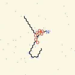 CCCCC/C=C\C/C=C\C/C=C\CCCCCCC(=O)OC[C@H](COP(=O)([O-])OCC[N+](C)(C)C)OC(=O)CCCCCCCCCCCC